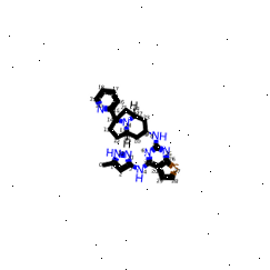 Cc1cc(Nc2nc(N[C@@H]3C[C@H]4CCC5(c6ccccn6)C[C@@H](C3)N45)nc3sccc23)n[nH]1